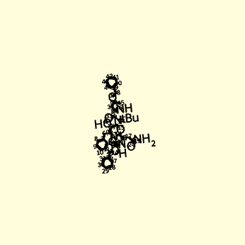 CC(C)(C)N(C[C@@H](O)[C@H](Cc1ccccc1)NC(=O)[C@H](CC(N)=O)NC(=O)OCc1ccccc1)C(=O)[C@@H]1C[C@@H](OCc2ccccc2)CN1